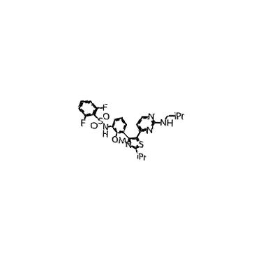 COc1c(NS(=O)(=O)c2c(F)cccc2F)cccc1-c1nc(C(C)C)sc1-c1ccnc(NCC(C)C)n1